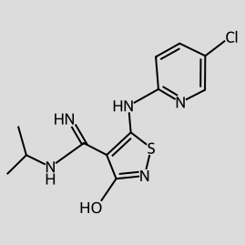 CC(C)NC(=N)c1c(O)nsc1Nc1ccc(Cl)cn1